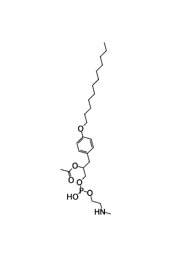 CCCCCCCCCCCCOc1ccc(CC(COP(O)OCCNC)OC(C)=O)cc1